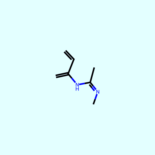 C=CC(=C)N/C(C)=N\C